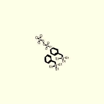 CC[N+](CC)(CC)Cc1ccccc1.CC[N+](CC)(CC)Cc1ccccc1.O=S(=O)([O-])OOS(=O)(=O)[O-]